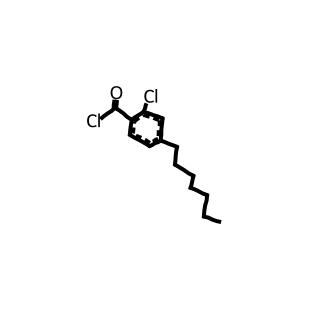 CCCCCCCc1ccc(C(=O)Cl)c(Cl)c1